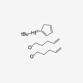 C=CCCC[O-].C=CCCC[O-].C[C](C)(C)[Hf+2][C]1=CC=CC1